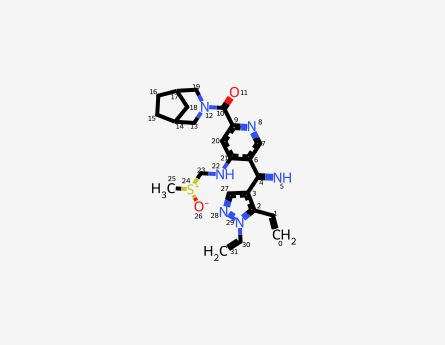 C=Cc1c(C(=N)c2cnc(C(=O)N3CC4CCC(C4)C3)cc2NC[S+](C)[O-])cnn1C=C